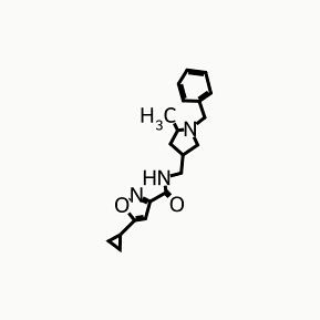 CC1CC(CNC(=O)c2cc(C3CC3)on2)CN1Cc1ccccc1